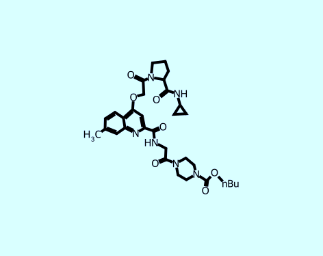 CCCCOC(=O)N1CCN(C(=O)CNC(=O)c2cc(OCC(=O)N3CCCC3C(=O)NC3CC3)c3ccc(C)cc3n2)CC1